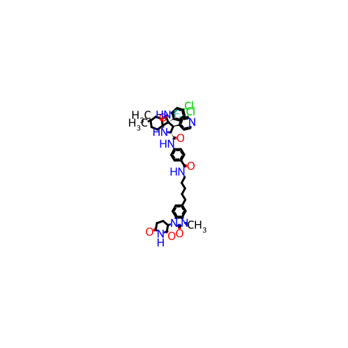 Cn1c(=O)n(C2CCC(=O)NC2=O)c2ccc(CCCCCNC(=O)c3ccc(NC(=O)[C@@H]4NC5(CCC(C)(C)CC5)[C@@]5(C(=O)Nc6cc(Cl)ccc65)[C@H]4c4ccnc(Cl)c4F)cc3)cc21